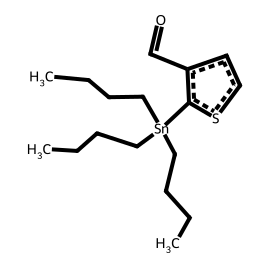 CCC[CH2][Sn]([CH2]CCC)([CH2]CCC)[c]1sccc1C=O